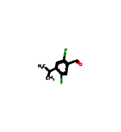 CC(C)c1cc(F)c(C=O)cc1F